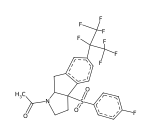 CC(=O)N1CCC2(S(=O)(=O)c3ccc(F)cc3)c3ccc(C(F)(C(F)(F)F)C(F)(F)F)cc3CC12